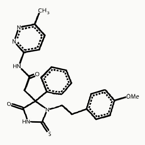 COc1ccc(CCN2C(=S)NC(=O)C2(CC(=O)Nc2ccc(C)nn2)c2ccccc2)cc1